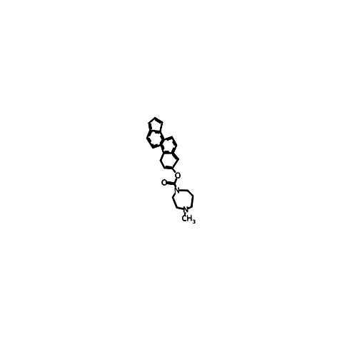 CN1CCCN(C(=O)OC2=CCc3c(ccc4c5c(ccc34)=CC=C5)=C2)CC1